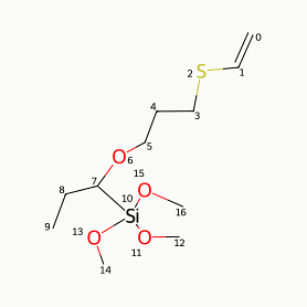 C=CSCCCOC(CC)[Si](OC)(OC)OC